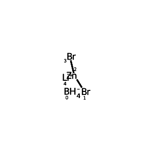 [BH4-].[Br][Zn][Br].[Li+]